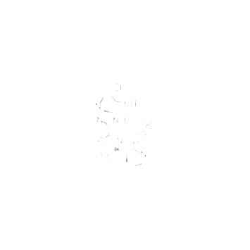 CO[C@H]1CN(C(=O)c2nc3ncc(Cl)c(C)c3[nH]2)[C@H](C)c2cccnc21